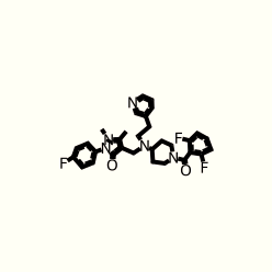 Cc1c(CN(CCc2cccnc2)C2CCN(C(=O)c3c(F)cccc3F)CC2)c(=O)n(-c2ccc(F)cc2)n1C